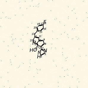 Oc1c(-c2ncc[nH]2)ccc2cc(Cc3ccc(F)cc3)cnc12